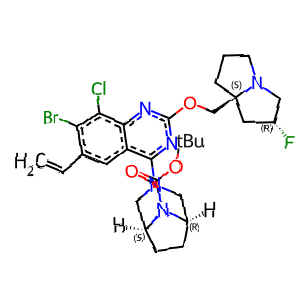 C=Cc1cc2c(N3C[C@H]4CC[C@@H](C3)N4C(=O)OC(C)(C)C)nc(OC[C@@]34CCCN3C[C@H](F)C4)nc2c(Cl)c1Br